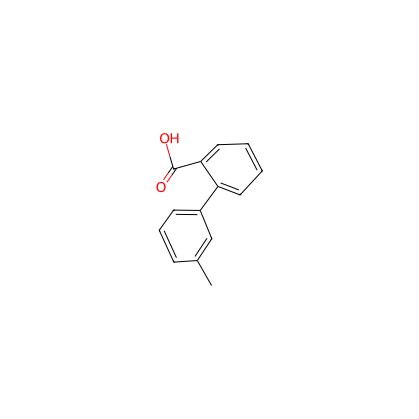 Cc1cccc(-c2ccccc2C(=O)O)c1